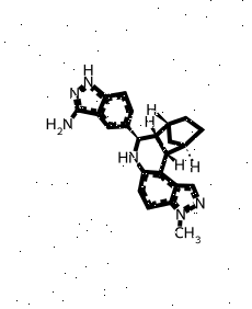 Cn1ncc2c3c(ccc21)N[C@@H](c1ccc2[nH]nc(N)c2c1)[C@@H]1[C@@H]2CC[C@H](C2)[C@H]31